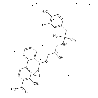 Cc1ccc(CC(C)(C)NC[C@H](O)COC(c2ccccc2-c2ccc(C(=O)O)c(C)c2)C2CC2)cc1F